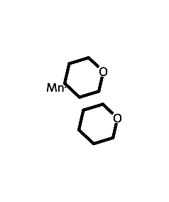 C1CCOCC1.C1CCOCC1.[Mn]